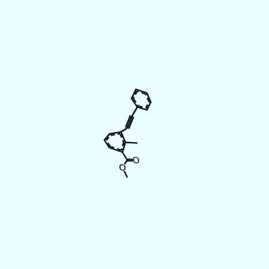 COC(=O)c1cccc(C#Cc2ccccc2)c1C